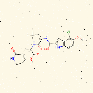 COC(=O)[C@H](C[C@@H]1CCCNC1=O)NC(=O)[C@H](CC(C)(C)C)NC(O)c1cc2c(Cl)c(OC)ccc2[nH]1